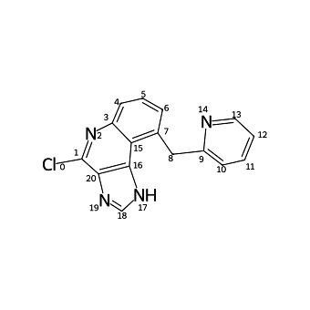 Clc1nc2cccc(Cc3ccccn3)c2c2[nH]cnc12